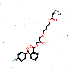 C=CC(=O)OCCCCOCC(O)COC(=O)c1ccccc1C(=O)c1ccc(Cl)cc1